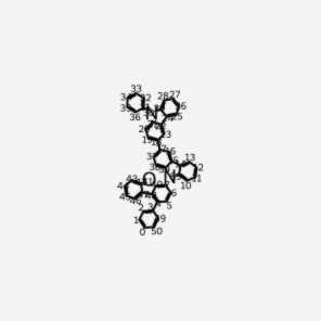 c1ccc(-c2ccc(-n3c4ccccc4c4cc(-c5ccc6c(c5)c5ccccc5n6-c5ccccc5)ccc43)c3oc4ccccc4c23)cc1